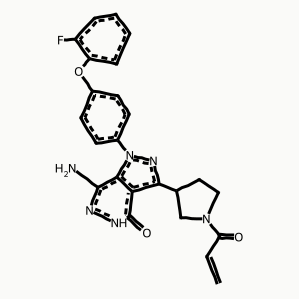 C=CC(=O)N1CCC(c2nn(-c3ccc(Oc4ccccc4F)cc3)c3c(N)n[nH]c(=O)c23)C1